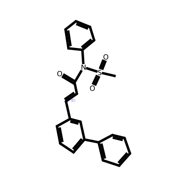 CS(=O)(=O)N(C(=O)/C=C/c1cccc(-c2ccccc2)c1)c1ccccc1